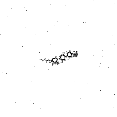 CCCCCOc1ccc(-c2ccc(-c3ccc(OC(F)(F)F)cc3)cc2)c(F)c1F